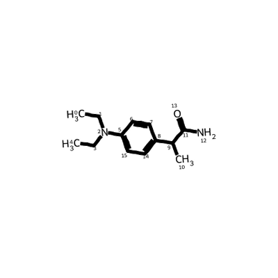 CCN(CC)c1ccc(C(C)C(N)=O)cc1